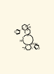 C[C@@H]1CC[C@@H](c2ccoc2)N2C[C@@]3(CCC[C@@H](O)C4[C@H](c5ccoc5)CC[C@@H](C)N4CNSC3)CC[C@@H]12